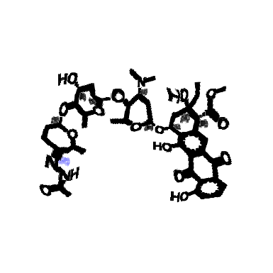 CC[C@@]1(O)C[C@H](O[C@H]2C[C@@H](N(C)C)C(O[C@H]3C[C@@H](O)C(O[C@H]4CC/C(=N/NC(C)=O)C(C)O4)C(C)O3)C(C)O2)c2c(cc3c(c2O)C(=O)c2c(O)cccc2C3=O)[C@H]1C(=O)OC